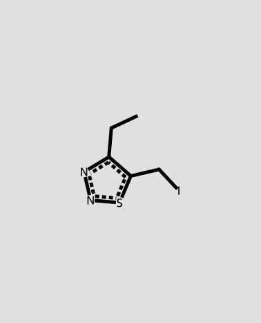 CCc1nnsc1CI